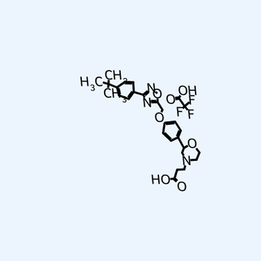 CC(C)(C)c1ccc(-c2noc(COc3ccc(C4CN(CCC(=O)O)CCO4)cc3)n2)cc1.O=C(O)C(F)(F)F